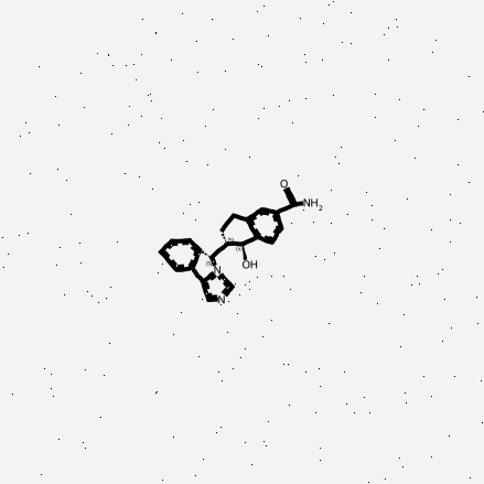 NC(=O)c1ccc2c(c1)CC[C@@H]([C@H]1c3ccccc3-c3cncn31)[C@@H]2O